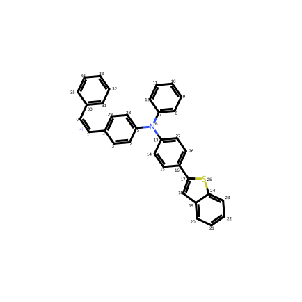 C(=C/c1ccc(N(c2ccccc2)c2ccc(-c3cc4ccccc4s3)cc2)cc1)/c1ccccc1